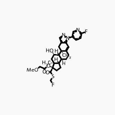 COCC(=O)O[C@]1(C(=O)SCF)CC[C@H]2[C@@H]3CCC4=Cc5c(cnn5-c5ccc(F)nc5)C[C@]4(C)[C@H]3[C@@H](O)C[C@@]21C